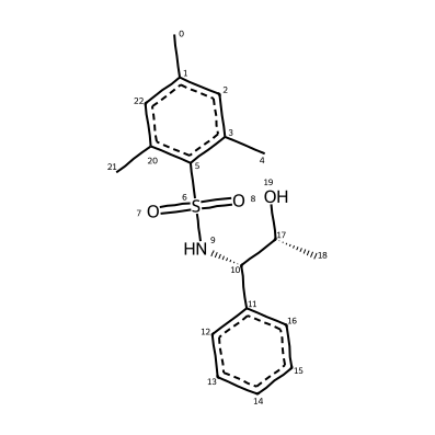 Cc1cc(C)c(S(=O)(=O)N[C@@H](c2ccccc2)[C@@H](C)O)c(C)c1